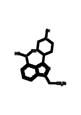 CCOC(=O)Cn1nc(C2CCN(C(C)=O)CC2)c2c(B(O)O)cccc21